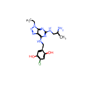 CCn1nnc2c(NCc3cc(O)c(Cl)cc3O)nc(NCC(C)N)nc21